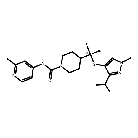 Cc1cc(NC(=O)N2CCC([C@](C)(F)Sc3cn(C)nc3C(F)F)CC2)ccn1